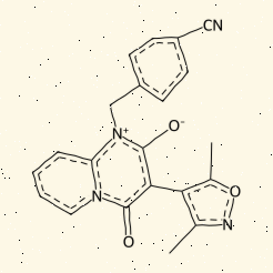 Cc1noc(C)c1-c1c([O-])[n+](Cc2ccc(C#N)cc2)c2ccccn2c1=O